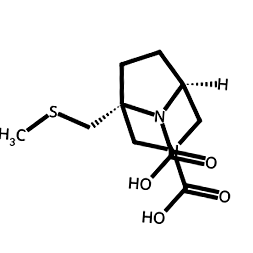 CSC[C@@]12CC[C@@H](CN(C(=O)O)C1)N2C(=O)O